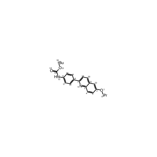 CC(C)Oc1ccc2nc(-c3ccc(NC(=O)OC(C)(C)C)cc3)ccc2c1